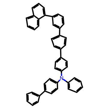 c1ccc(-c2ccc(N(c3ccccc3)c3ccc(-c4ccc(-c5cccc(-c6cccc7ccccc67)c5)cc4)cc3)cc2)cc1